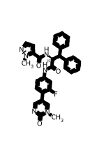 Cn1nccc1C(=O)N[C@H](C(=O)Nc1ccc(-c2cnc(=O)n(C)c2)c(F)c1)C(c1ccccc1)c1ccccc1